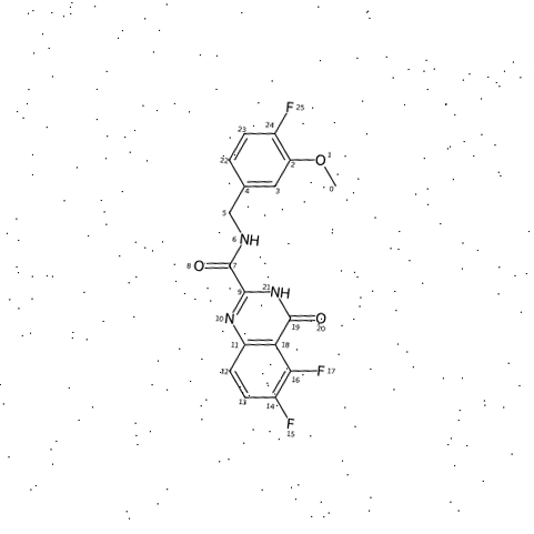 COc1cc(CNC(=O)c2nc3ccc(F)c(F)c3c(=O)[nH]2)ccc1F